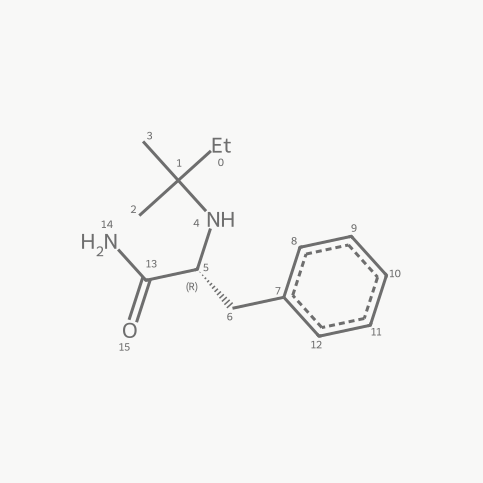 CCC(C)(C)N[C@H](Cc1ccccc1)C(N)=O